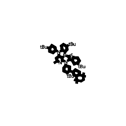 Cc1cc2c3c(n1)N(c1ccc(C(C)(C)C)c(-c4ccc5c(c4)C(C)(C)CCC5(C)C)c1)c1c(sc4ccc(C(C)(C)C)cc14)B3c1cc(C(C)(C)C)ccc1N2c1ccc(C(C)(C)C)cc1